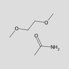 CC(N)=O.COCCOC